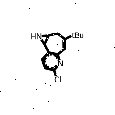 CC(C)(C)C1=Cc2nc(Cl)ccc2C2NC2C1